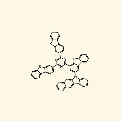 c1ccc2cc3c(cc2c1)c1ccccc1n3-c1cc(-c2nc(-c3ccc4c(c3)sc3ccccc34)nc(-c3ccc4c(c3)sc3ccccc34)n2)c2oc3ccccc3c2c1